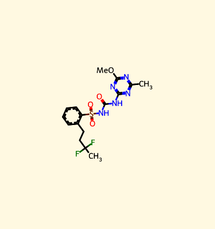 COc1nc(C)nc(NC(=O)NS(=O)(=O)c2ccccc2CCC(C)(F)F)n1